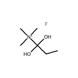 CCC(O)(O)[N+](C)(C)C.[I-]